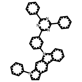 c1ccc(-c2nc(-c3ccccc3)nc(-c3cccc(-n4c5ccccc5c5cc6ccn(-c7ccccc7)c6cc54)c3)n2)cc1